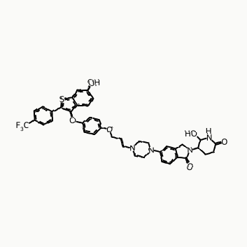 O=C1CCC(N2Cc3cc(N4CCN(CCCOc5ccc(Oc6c(-c7ccc(C(F)(F)F)cc7)sc7cc(O)ccc67)cc5)CC4)ccc3C2=O)C(O)N1